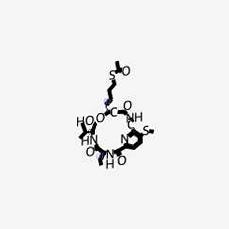 C/C=C1\NC(=O)c2ccc(SC)c(n2)CNC(=O)C[C@@H](/C=C/CCSC(C)=O)OC(O)[C@H](C(C)C)NC1=O